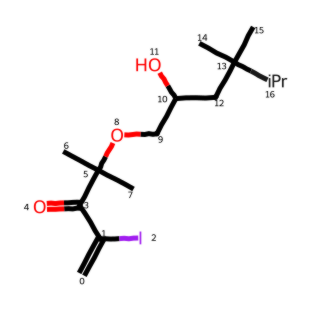 C=C(I)C(=O)C(C)(C)OCC(O)CC(C)(C)C(C)C